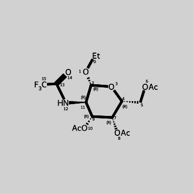 CCO[C@@H]1O[C@H](COC(C)=O)[C@H](OC(C)=O)[C@H](OC(C)=O)[C@H]1NC(=O)C(F)(F)F